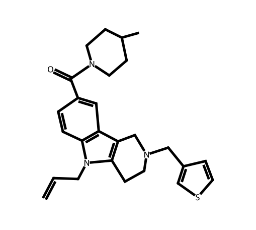 C=CCn1c2c(c3cc(C(=O)N4CCC(C)CC4)ccc31)CN(Cc1ccsc1)CC2